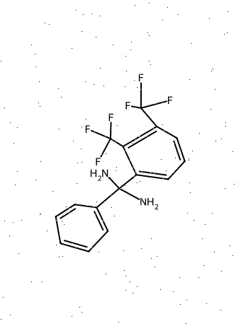 NC(N)(c1ccccc1)c1cccc(C(F)(F)F)c1C(F)(F)F